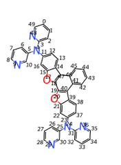 c1ccc(N(c2cccnc2)c2ccc3c(c2)oc2c4oc5cc(N(c6cccnc6)c6ccccn6)ccc5c4c4ccccc4c32)nc1